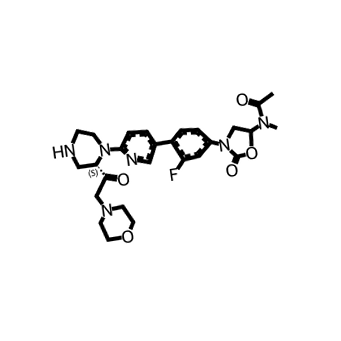 CC(=O)N(C)C1CN(c2ccc(-c3ccc(N4CCNC[C@H]4C(=O)CN4CCOCC4)nc3)c(F)c2)C(=O)O1